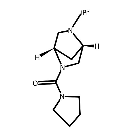 CC(C)N1C[C@@H]2C[C@H]1CN2C(=O)N1CCCC1